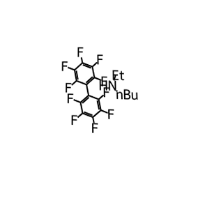 CCCCNCC.Fc1c(F)c(F)c(-c2c(F)c(F)c(F)c(F)c2F)c(F)c1F